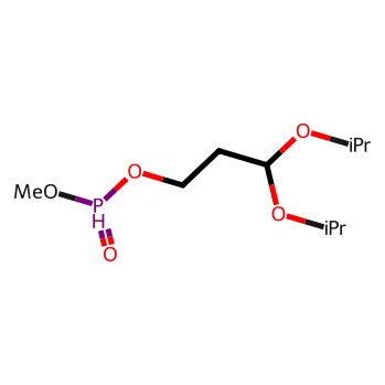 CO[PH](=O)OCCC(OC(C)C)OC(C)C